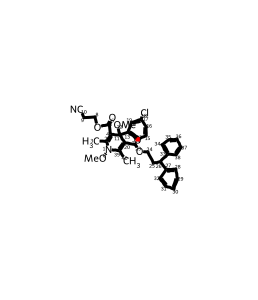 CON1C(C)=C(C(=O)OCCC#N)C(OC)(c2cccc(Cl)c2)C(C(=O)OCCC(c2ccccc2)c2ccccc2)=C1C